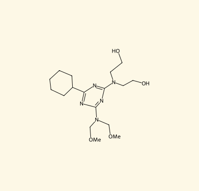 COCN(COC)c1nc(C2CCCCC2)nc(N(CCO)CCO)n1